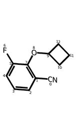 N#Cc1cccc(F)c1OC1CCC1